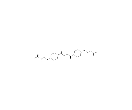 NC(=O)NCCN1CCN(C(=O)CCC(=O)N2CCN(CCNC(N)=O)CC2)CC1